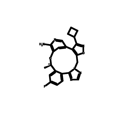 C[C@H]1Oc2cc(cnc2N)-c2c(C3CCC3)noc2Cn2ncnc2-c2ccc(F)cc21